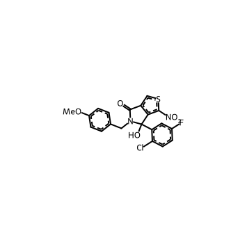 COc1ccc(CN2C(=O)c3csc([N+](=O)[O-])c3C2(O)c2cc(F)ccc2Cl)cc1